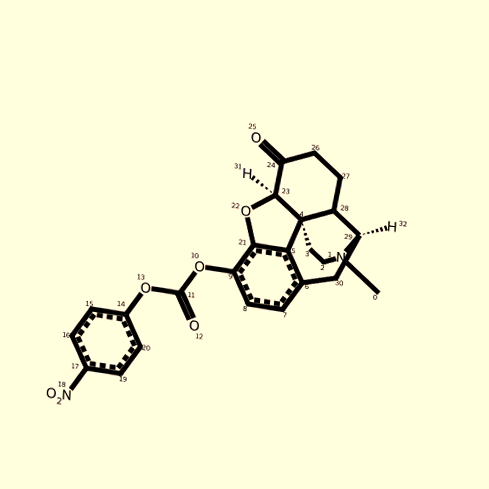 CN1CC[C@]23c4c5ccc(OC(=O)Oc6ccc([N+](=O)[O-])cc6)c4O[C@H]2C(=O)CCC3[C@H]1C5